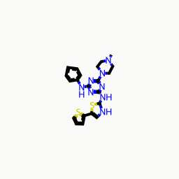 CN1CCN(c2nc(Nc3ccccc3)nc(NC3NC=C(c4cccs4)S3)n2)CC1